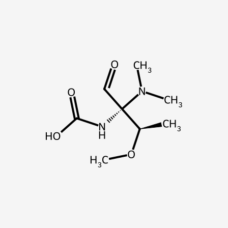 CO[C@H](C)[C@](C=O)(NC(=O)O)N(C)C